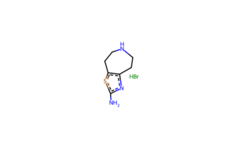 Br.Nc1nc2c(s1)CCNCC2